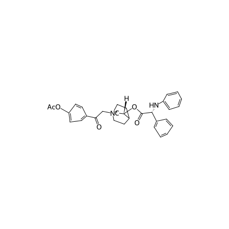 CC(=O)Oc1ccc(C(=O)C[N+]23CCC(CC2)[C@@H](OC(=O)[C@H](Nc2ccccc2)c2ccccc2)C3)cc1